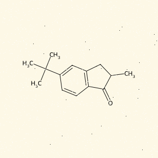 CC1Cc2cc(C(C)(C)C)ccc2C1=O